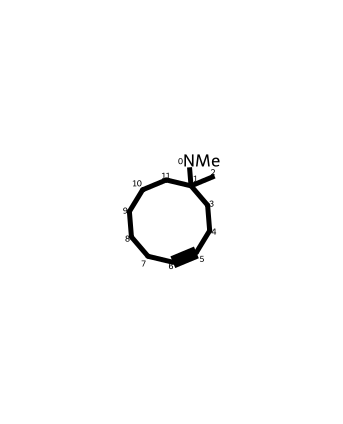 CNC1(C)CCC#CCCCCC1